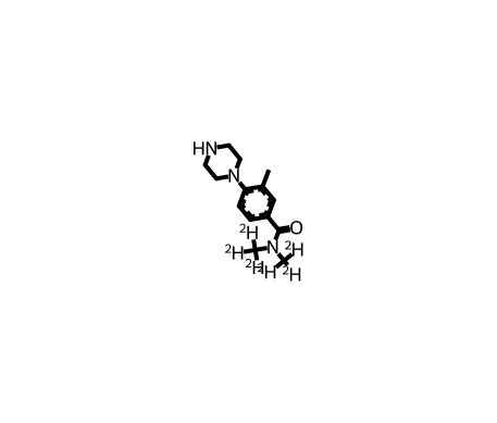 [2H]C([2H])([2H])N(C(=O)c1ccc(N2CCNCC2)c(C)c1)C([2H])([2H])[2H]